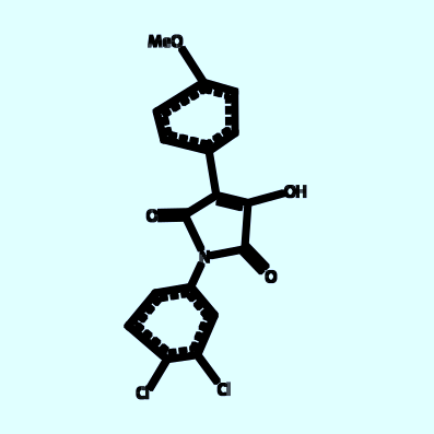 COc1ccc(C2=C(O)C(=O)N(c3ccc(Cl)c(Cl)c3)C2=O)cc1